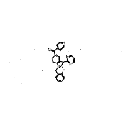 O=C(c1ccncc1)N1CCc2c(c(-c3ncccn3)nn2Cc2ccccc2F)C1